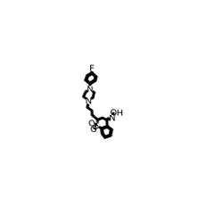 O=S1(=O)c2ccccc2C(=NO)CC1CCCN1CCN(c2ccc(F)cc2)CC1